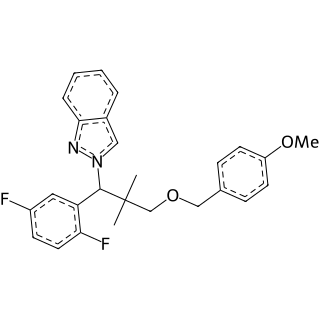 COc1ccc(COCC(C)(C)C(c2cc(F)ccc2F)n2cc3ccccc3n2)cc1